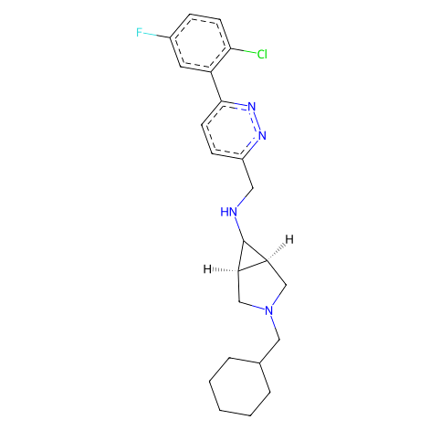 Fc1ccc(Cl)c(-c2ccc(CNC3[C@H]4CN(CC5CCCCC5)C[C@@H]34)nn2)c1